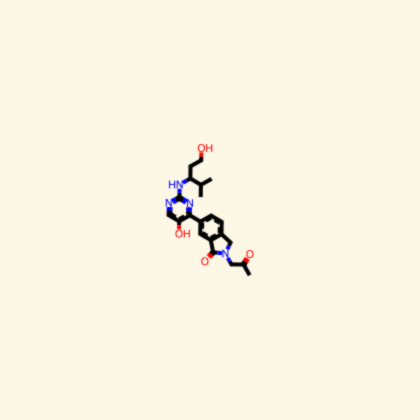 CC(=O)CN1Cc2ccc(-c3nc(NC(CCO)C(C)C)ncc3O)cc2C1=O